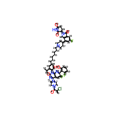 C=C(Cl)C(=O)N1CCN(c2nc(=O)n(-c3ccc(CCCCCCCN4CCC(c5cc(F)cc6c5CN(C5CCC(=O)NC5=O)C6=O)CC4)cc3C(C)C)c3nc(-c4c(O)cccc4F)c(F)cc23)[C@@H](C)C1